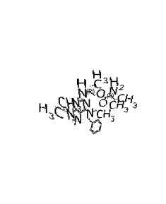 CC[C@H](COC(=O)[C@@H](N)C(C)C)Nc1nc(N(CC)Cc2ccccc2)c2ncn(C(C)C)c2n1